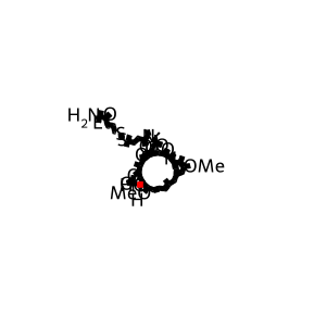 CCC(C)(N)C(=O)CCCSSC(C)(C)CCC(=O)N(C)[C@@H](C)C(=O)OC1CC(=O)N(C)c2cc(cc(OC)c2C)C/C(C)=C/C=C/C(OC)C2(O)CC(OC(=O)N2)C(C)C2OC12C